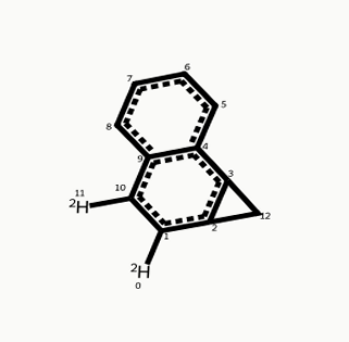 [2H]c1c2c(c3ccccc3c1[2H])C2